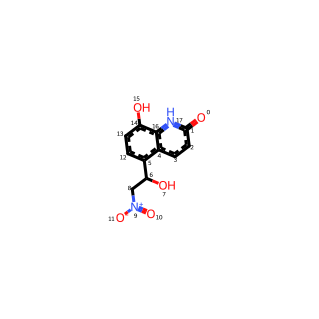 O=c1ccc2c(C(O)C[N+](=O)[O-])ccc(O)c2[nH]1